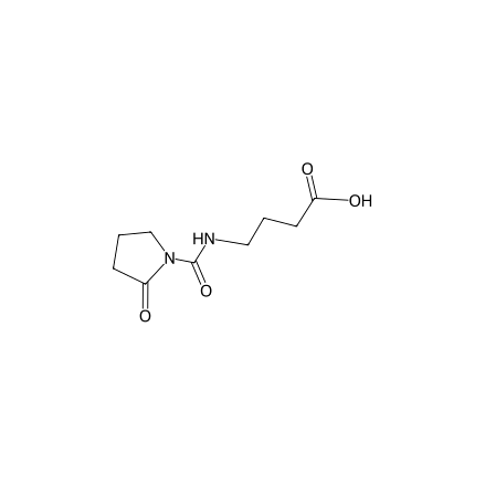 O=C(O)CCCNC(=O)N1CCCC1=O